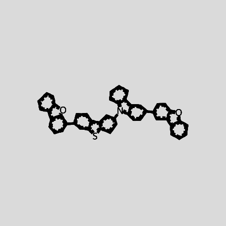 c1ccc2c(c1)oc1ccc(-c3ccc4c(c3)c3ccccc3n4-c3ccc4sc5cc(-c6cccc7c6oc6ccccc67)ccc5c4c3)cc12